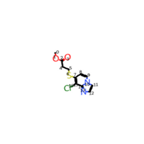 COC(=O)CCSc1ccn2ccnc2c1Cl